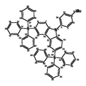 CC(C)(C)c1ccc(-n2c3ccc(S(c4ccccc4)(c4ccccc4)c4ccccc4)cc3c3cc(S(c4ccccc4)(c4ccccc4)c4ccccc4)ccc32)cc1